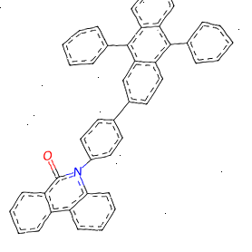 O=c1c2ccccc2c2ccccc2n1-c1ccc(-c2ccc3c(-c4ccccc4)c4ccccc4c(-c4ccccc4)c3c2)cc1